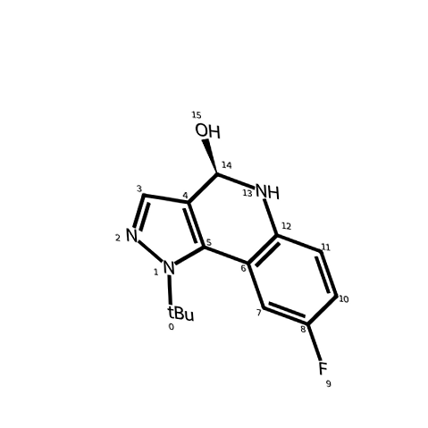 CC(C)(C)n1ncc2c1-c1cc(F)ccc1N[C@@H]2O